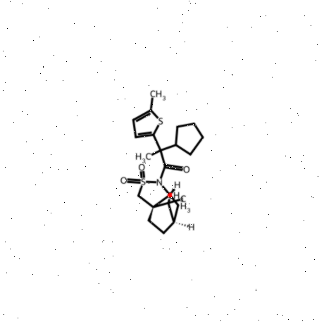 Cc1ccc(C(C)(C(=O)N2[C@@H]3C[C@H]4CC[C@]3(CS2(=O)=O)C4(C)C)C2CCCC2)s1